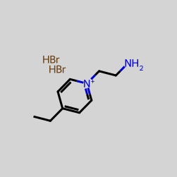 Br.Br.CCc1cc[n+](CCN)cc1